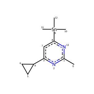 Cc1nc(C2CC2)c[c]([Sn]([CH3])([CH3])[CH3])n1